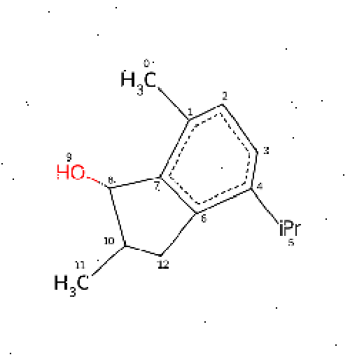 Cc1ccc(C(C)C)c2c1C(O)C(C)C2